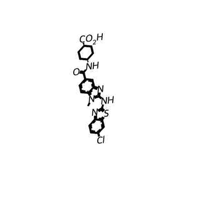 Cn1c(Nc2nc3ccc(Cl)cc3s2)nc2cc(C(=O)N[C@H]3CC[C@H](C(=O)O)CC3)ccc21